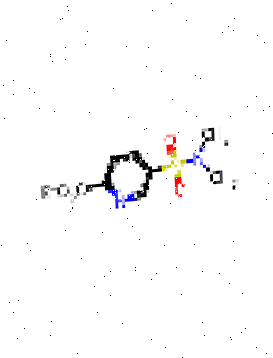 CCOC(=O)c1ccc(S(=O)(=O)N(C)C)cn1